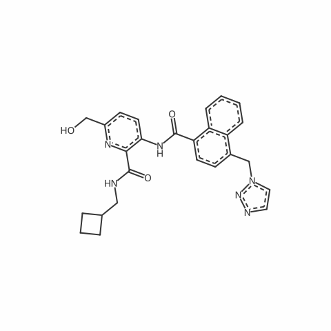 O=C(NCC1CCC1)c1nc(CO)ccc1NC(=O)c1ccc(Cn2ccnn2)c2ccccc12